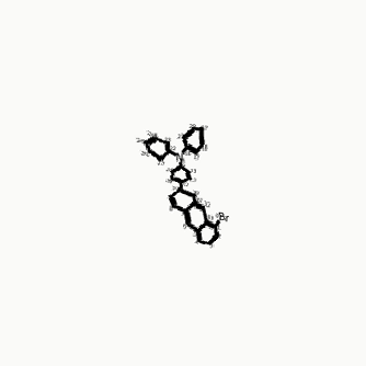 Brc1cccc2cc3ccc(-c4ccc(N(c5ccccc5)c5ccccc5)cc4)cc3cc12